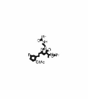 COc1ccc(F)cc1CCc1cc(C(C)NOC(C)C)c(=O)n(CCNC(=O)C(C)C)n1